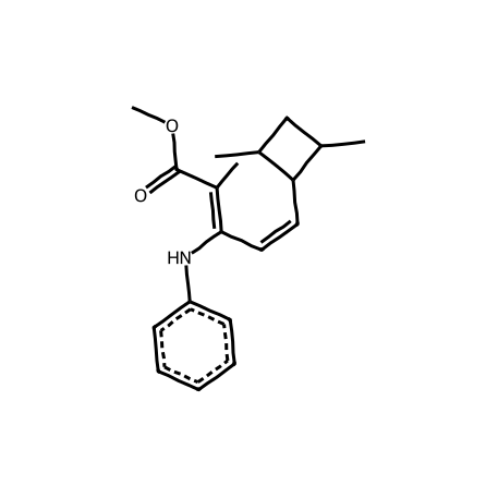 COC(=O)/C(C)=C(/C=C\C1C(C)CC1C)Nc1ccccc1